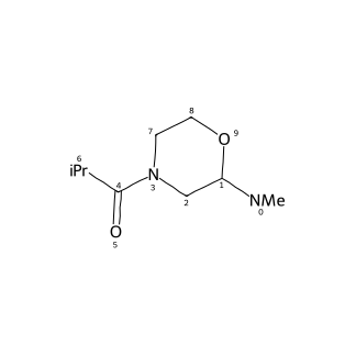 CNC1CN(C(=O)C(C)C)CCO1